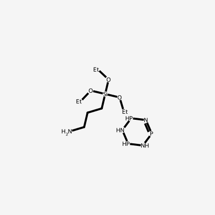 CCO[Si](CCCN)(OCC)OCC.n1p[nH][pH][nH][pH]1